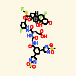 C[C@]12C=CC(=O)C=C1[C@@H](F)C[C@H]1[C@@H]3CC[C@](OC(=O)c4ccc(F)c(NC(=O)[C@H](CCC(=O)O)NC(=O)CNC(=O)c5cc(-c6cnc(S(C)(=O)=O)nc6)cc(-c6cnc(S(C)(=O)=O)nc6)c5)c4)(C(=O)SCF)[C@@]3(C)C[C@H](O)[C@@]12F